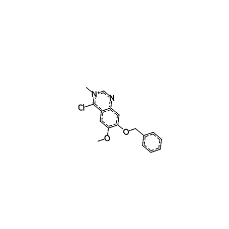 COc1cc2c(Cl)[n+](C)cnc2cc1OCc1ccccc1